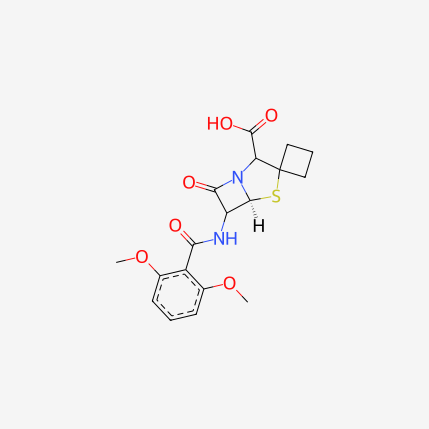 COc1cccc(OC)c1C(=O)NC1C(=O)N2C(C(=O)O)C3(CCC3)S[C@@H]12